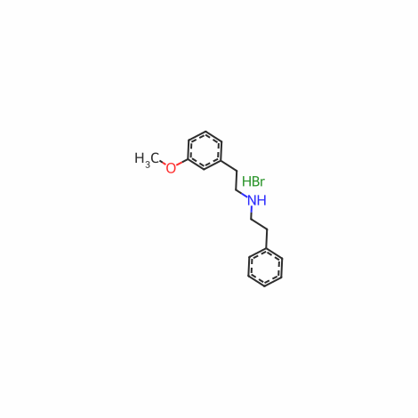 Br.COc1cccc(CCNCCc2ccccc2)c1